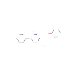 CCc1cccc(CC)c1-c1cc(OC)c(COc2ccc(Cl)c(F)c2)cn1